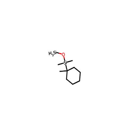 CC1([Si](C)(C)O[SiH3])CCCCC1